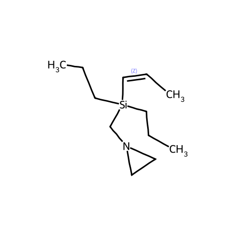 C/C=C\[Si](CCC)(CCC)CN1CC1